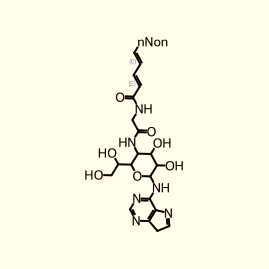 CCCCCCCCC/C=C/C=C/C(=O)NCC(=O)NC1C(O)C(O)C(Nc2ncnc3c2N=CC3)OC1C(O)CO